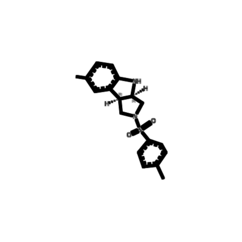 Cc1ccc(S(=O)(=O)N2C[C@@H]3Nc4ccc(C)cc4[C@@H]3C2)cc1